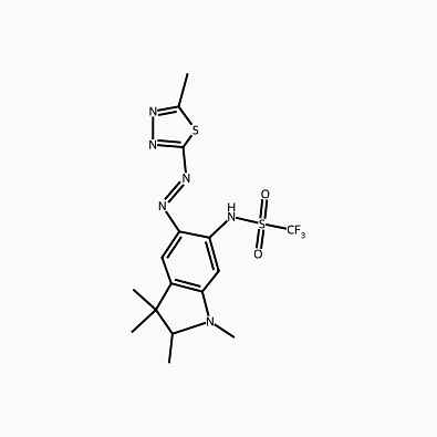 Cc1nnc(N=Nc2cc3c(cc2NS(=O)(=O)C(F)(F)F)N(C)C(C)C3(C)C)s1